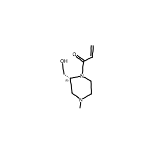 C=CC(=O)N1CCN(C)C[C@@H]1CO